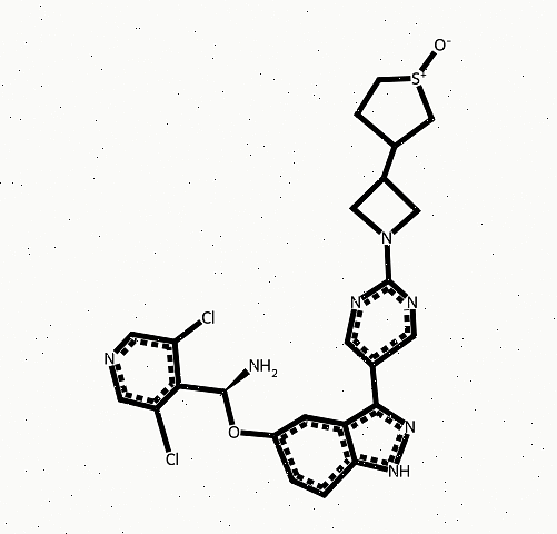 N[C@@H](Oc1ccc2[nH]nc(-c3cnc(N4CC(C5CC[S+]([O-])C5)C4)nc3)c2c1)c1c(Cl)cncc1Cl